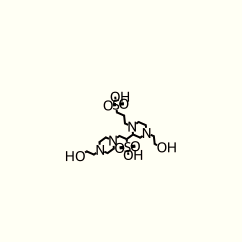 O=S(=O)(O)CCCN1CCN(CCO)CC1C(CN1CCN(CCO)CC1)S(=O)(=O)O